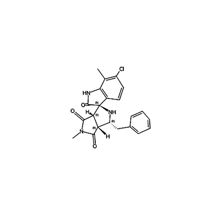 Cc1c(Cl)ccc2c1NC(=O)[C@]21N[C@H](Cc2ccccc2)[C@@H]2C(=O)N(C)C(=O)[C@@H]21